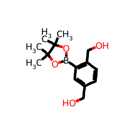 CC1(C)OB(c2cc(CO)ccc2CO)OC1(C)C